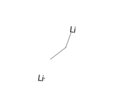 [Li].[Li][CH2]C